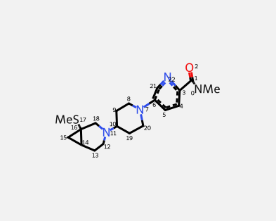 CNC(=O)c1ccc(N2CCC(N3CCC4CC4(SC)C3)CC2)cn1